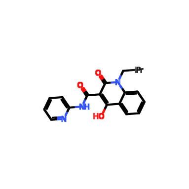 CC(C)Cn1c(=O)c(C(=O)Nc2ccccn2)c(O)c2ccccc21